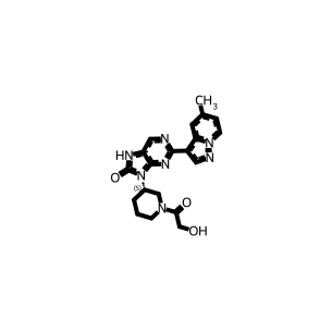 Cc1ccn2ncc(-c3ncc4[nH]c(=O)n([C@H]5CCCN(C(=O)CO)C5)c4n3)c2c1